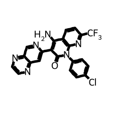 Nc1c(-c2cc3nccnc3cn2)c(=O)n(-c2ccc(Cl)cc2)c2nc(C(F)(F)F)ccc12